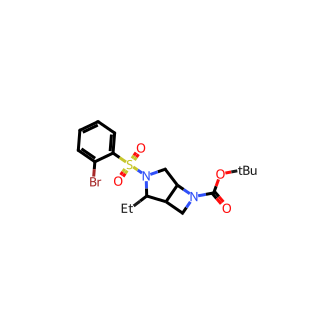 CCC1C2CN(C(=O)OC(C)(C)C)C2CN1S(=O)(=O)c1ccccc1Br